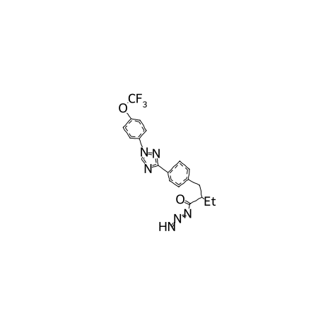 CCC(Cc1ccc(-c2ncn(-c3ccc(OC(F)(F)F)cc3)n2)cc1)C(=O)N=[N+]=N